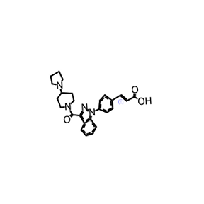 O=C(O)/C=C/c1ccc(-n2nc(C(=O)N3CCC(N4CCCC4)CC3)c3ccccc32)cc1